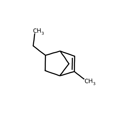 CCC1CC2CC1C=C2C